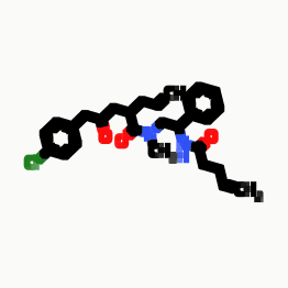 C=CCCC(=O)NC(CN(C)C(=O)C(CC=C)CC(=O)Cc1ccc(Cl)cc1)c1ccccc1